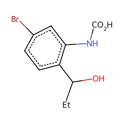 CCC(O)c1ccc(Br)cc1NC(=O)O